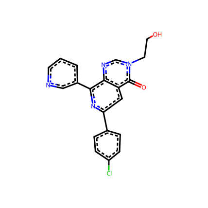 O=c1c2cc(-c3ccc(Cl)cc3)nc(-c3cccnc3)c2ncn1CCO